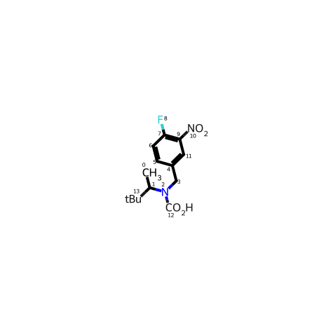 CC(N(Cc1ccc(F)c([N+](=O)[O-])c1)C(=O)O)C(C)(C)C